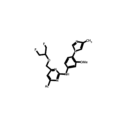 COc1cc(Nc2nc(COC(CF)CF)cc(C(C)=O)n2)ccc1-n1cnc(C)c1